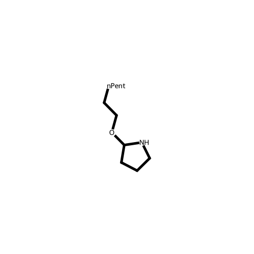 CCCCCCCOC1CCCN1